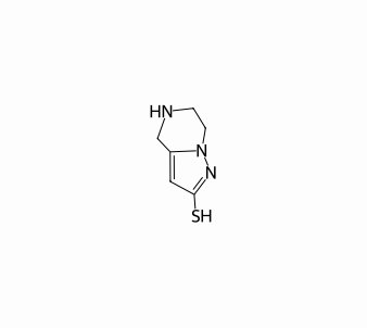 Sc1cc2n(n1)CCNC2